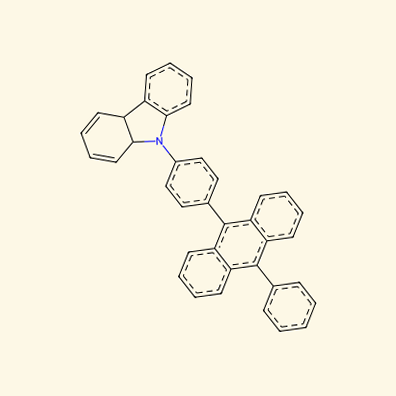 C1=CC2c3ccccc3N(c3ccc(-c4c5ccccc5c(-c5ccccc5)c5ccccc45)cc3)C2C=C1